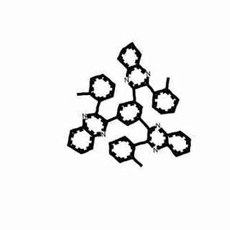 Cc1ccccc1-c1nc2ccccc2nc1-c1cc(-c2nc3ccccc3nc2-c2ccccc2C)cc(-c2nc3ccccc3nc2-c2ccccc2C)c1